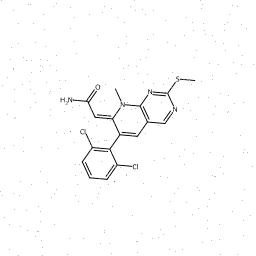 CSc1ncc2c(n1)N(C)/C(=C\C(N)=O)C(c1c(Cl)cccc1Cl)=C2